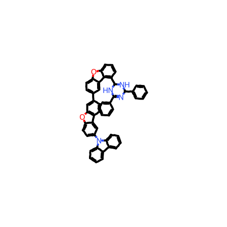 c1ccc(C2=NC(c3ccccc3)NC(c3cccc4oc5ccc(-c6ccc7c(c6)oc6ccc(-n8c9ccccc9c9ccccc98)cc67)cc5c34)N2)cc1